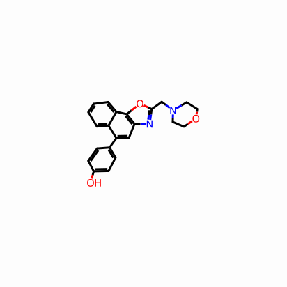 Oc1ccc(-c2cc3nc(CN4CCOCC4)oc3c3ccccc23)cc1